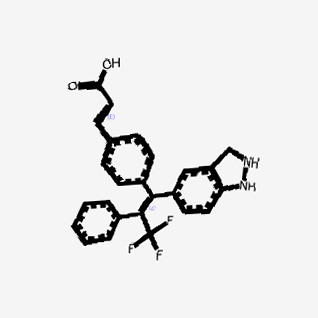 O=C(O)/C=C/c1ccc(/C(=C(\c2ccccc2)C(F)(F)F)c2ccc3c(c2)CNN3)cc1